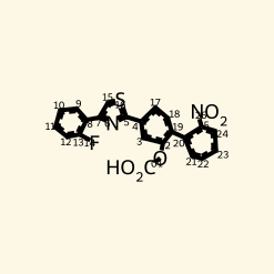 O=C(O)Oc1cc(-c2nc(-c3ccccc3F)cs2)ccc1-c1ccccc1[N+](=O)[O-]